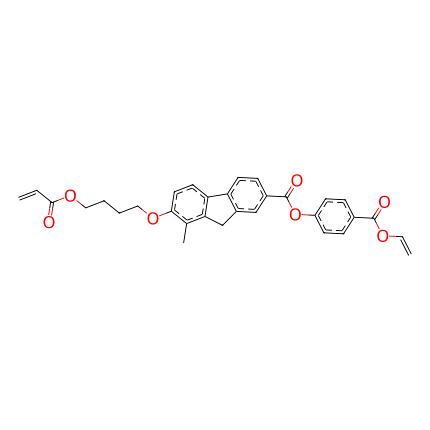 C=COC(=O)c1ccc(OC(=O)c2ccc3c(c2)Cc2c-3ccc(OCCCCOC(=O)C=C)c2C)cc1